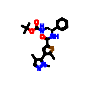 Cc1cnn(C)c1-c1cc(C(=O)N[C@H](CNC(=O)OC(C)(C)C)c2ccccc2)sc1C